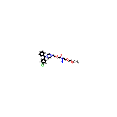 COCCOCCNC(=O)COCCN1CCN(C(c2ccccc2)c2ccc(Cl)cc2)CC1